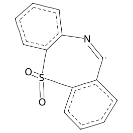 O=S1(=O)c2ccccc2[C]=Nc2ccccc21